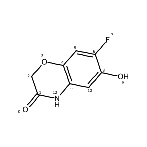 O=C1COc2cc(F)c(O)cc2N1